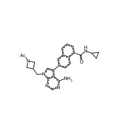 CC(=O)N1CC(Cn2cc(-c3ccc4c(C(=O)NC5CC5)cccc4c3)c3c(N)ncnc32)C1